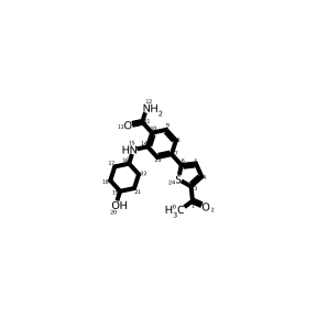 CC(=O)c1ccc(-c2ccc(C(N)=O)c(NC3CCC(O)CC3)c2)s1